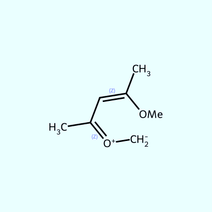 [CH2-]/[O+]=C(C)\C=C(\C)OC